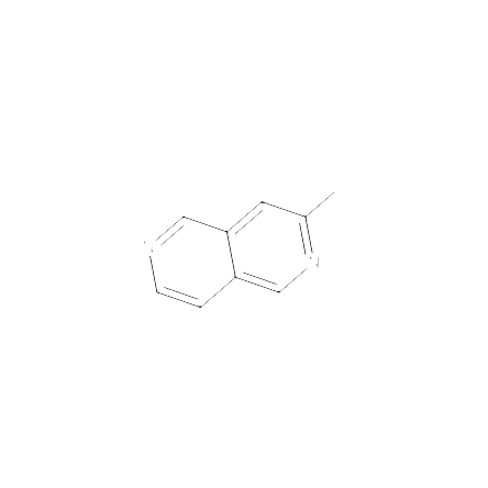 Fc1cc2cnccc2cn1